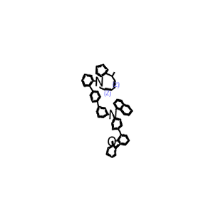 CC1/C=C\C=C/CN(c2ccccc2-c2ccc(-c3cccc(N(c4ccc(-c5cccc6c5oc5ccccc56)cc4)c4cccc5ccccc45)c3)cc2)c2ccccc21